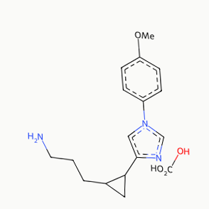 COc1ccc(-n2cnc(C3CC3CCCN)c2)cc1.O=C(O)O